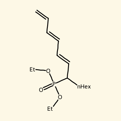 C=CC=CC=CC(CCCCCC)P(=O)(OCC)OCC